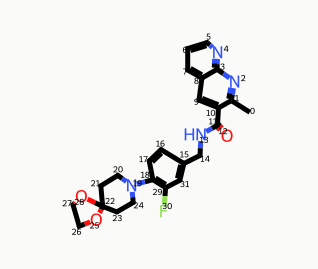 Cc1nc2ncccc2cc1C(=O)NCc1ccc(N2CCC3(CC2)OCCO3)c(F)c1